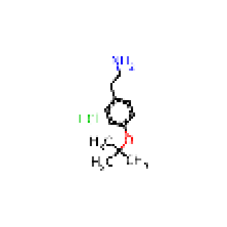 CC(C)(C)Oc1ccc(CCN)cc1.Cl